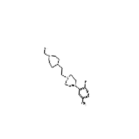 CC(=O)CN1CCC(CCN2CC=C(c3cc(C(F)(F)F)ccc3F)CC2)CC1